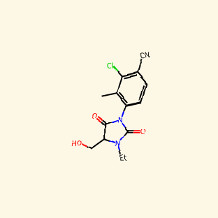 CCN1C(=O)N(c2ccc(C#N)c(Cl)c2C)C(=O)C1CO